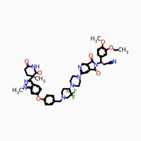 CCOc1cc([C@@H](CC#N)N2C(=O)c3cnc(N4CCN([C@H]5CCN(Cc6ccc(Oc7ccc8c([C@@]9(C)CCC(=O)NC9=O)nn(C)c8c7)cc6)CC5(F)F)CC4)cc3C2=O)ccc1OC